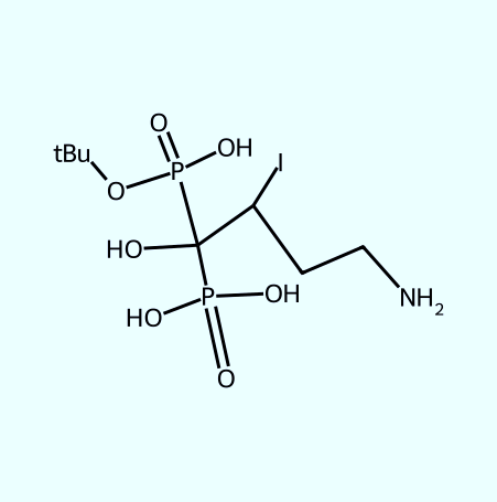 CC(C)(C)OP(=O)(O)C(O)(C(I)CCN)P(=O)(O)O